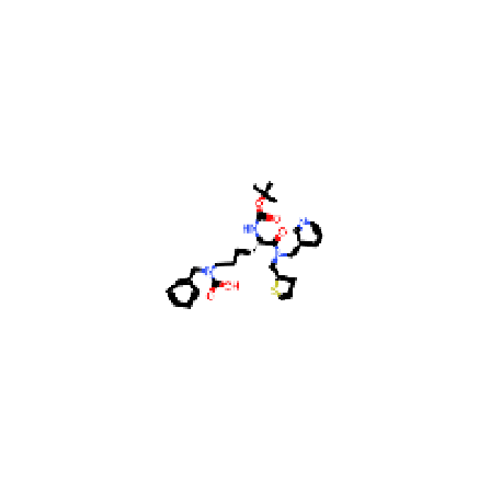 CC(C)(C)OC(=O)N[C@@H](CCCCN(Cc1ccccc1)C(=O)O)C(=O)N(Cc1cccnc1)Cc1cccs1